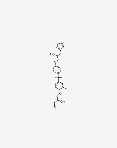 CC(C)(c1ccc(OCC(O)Cn2ccnc2)cc1)c1ccc(OCC(O)CCl)c(I)c1